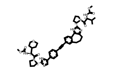 COC(=O)N[C@H](C(=O)N1CCC[C@H]1c1nc2c([nH]1)-c1ccc(C#Cc3ccc(-c4cnc([C@@H]5CCCN5C(=O)[C@@H](NC(=O)OC)C5CCOCC5)[nH]4)cc3)cc1CCC2)C(C)C